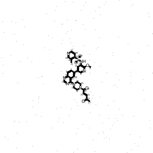 COc1ncc(-c2ccc3ncnc(N4CCN(C(=O)/C=C/C(C)=O)CC4)c3c2)cc1NS(=O)(=O)c1ccncc1C